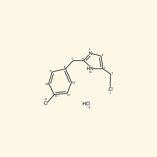 Cl.ClCc1cnc(Cc2ccc(Cl)cc2)[nH]1